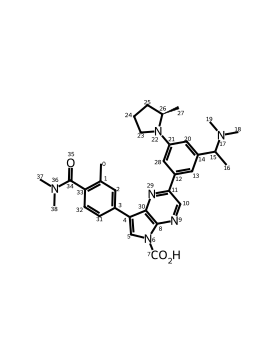 Cc1cc(-c2cn(C(=O)O)c3ncc(-c4cc(C(C)N(C)C)cc(N5CCC[C@H]5C)c4)nc23)ccc1C(=O)N(C)C